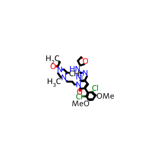 C=CC(=O)N1CC(C)N(CCCn2c(=O)c(-c3c(Cl)c(OC)cc(OC)c3Cl)cc3cnc(NC4CCOC4)nc32)C(C)C1